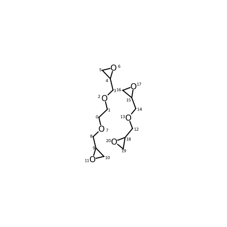 C(COCC1CO1)OCC1CO1.C(OCC1CO1)C1CO1